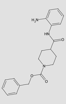 Nc1ccccc1NC(=O)C1CCN(C(=O)OCc2ccccc2)CC1